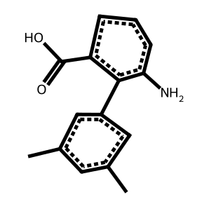 Cc1cc(C)cc(-c2c(N)cccc2C(=O)O)c1